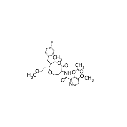 COCC[C@H]1OCC[C@H](NC(=O)c2nccc(OC)c2OC(C)=O)C(=O)O[C@@H](C)[C@@H]1Cc1ccc(F)cc1